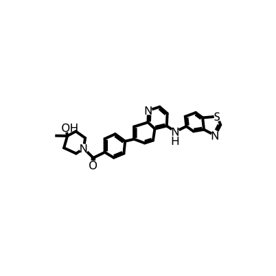 CC1(O)CCN(C(=O)c2ccc(-c3ccc4c(Nc5ccc6scnc6c5)ccnc4c3)cc2)CC1